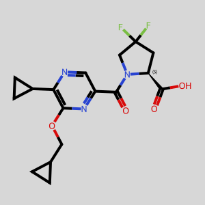 O=C(O)[C@@H]1CC(F)(F)CN1C(=O)c1cnc(C2CC2)c(OCC2CC2)n1